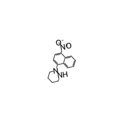 O=[N+]([O-])c1ccc(N2CCCCN2)c2ccccc12